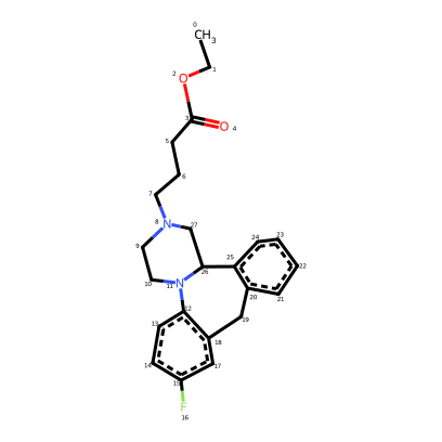 CCOC(=O)CCCN1CCN2c3ccc(F)cc3Cc3ccccc3C2C1